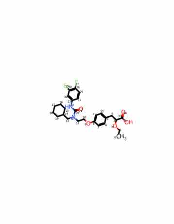 CCOC(Cc1ccc(OCCN(CC2CCCCC2)C(=O)Nc2ccc(F)c(F)c2)cc1)C(=O)O